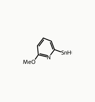 COc1ccc[c]([SnH])n1